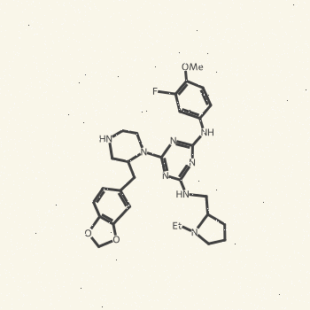 CCN1CCCC1CNc1nc(Nc2ccc(OC)c(F)c2)nc(N2CCNCC2Cc2ccc3c(c2)OCO3)n1